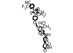 C[C@@H]1CN(CCO[C@H]2CC[C@H](N3C(=S)N(c4ccc(C#N)c(C(F)(F)F)c4)C(=O)C3(C)C)CC2)C[C@H](C)N1CC(=O)Nc1ccc(N2CCC(=O)NC2=O)nc1.Cl